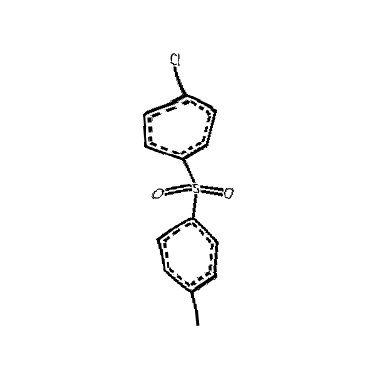 Cc1ccc(S(=O)(=O)c2ccc(Cl)cc2)cc1